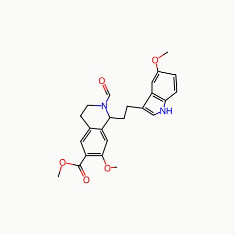 COC(=O)c1cc2c(cc1OC)C(CCc1c[nH]c3ccc(OC)cc13)N(C=O)CC2